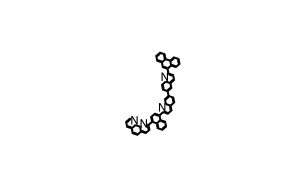 c1ccc2c(c1)cc(-c1ccc3cc(-c4ccc5ccc(-c6ccc(-c7ccc8ccc9cccnc9c8n7)c7ccccc67)nc5c4)ccc3n1)c1ccccc12